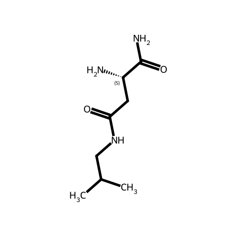 CC(C)CNC(=O)C[C@H](N)C(N)=O